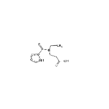 CCN(CCC(=O)O)C(=O)c1ccc[nH]1